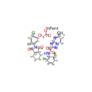 CCCCCOC(=O)COc1cc(N2C(=O)C3=C(CCCC3)C2=O)c(F)cc1Cl.Cc1ccn2nc(S(=O)(=O)Nc3c(F)cccc3F)nc2n1